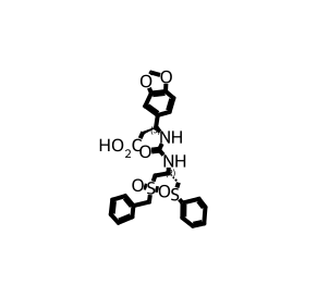 O=C(O)C[C@H](NC(=O)N[C@H](CSc1ccccc1)CS(=O)(=O)Cc1ccccc1)c1ccc2c(c1)OCO2